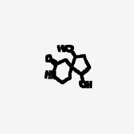 O=C1CC2(CCN1)C(O)CCC2O